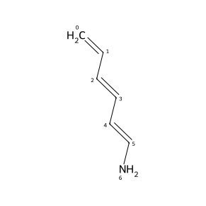 C=CC=CC=CN